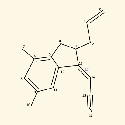 C=CCC1Cc2c(C)cc(C)cc2/C1=C\C#N